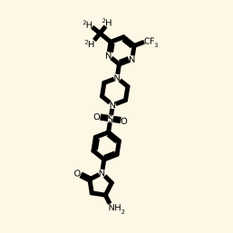 [2H]C([2H])([2H])c1cc(C(F)(F)F)nc(N2CCN(S(=O)(=O)c3ccc(N4CC(N)CC4=O)cc3)CC2)n1